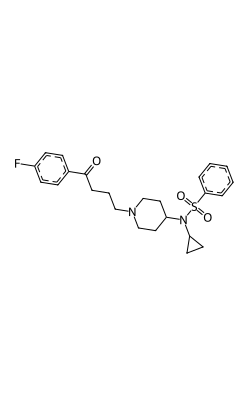 O=C(CCCN1CCC(N(C2CC2)S(=O)(=O)c2ccccc2)CC1)c1ccc(F)cc1